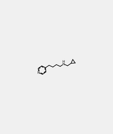 c1cc(CCCCNCC2CC2)ccn1